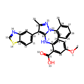 COc1cc(C)c(Nc2c(-c3ccc4scnc4c3)c(C)nn2-c2ccccc2C)c(C(=O)O)c1